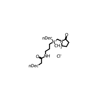 CCCCCCCCCCCC(=O)NCCC[N+](C)(CCCCCCCCCC)CN1CCCC1=O.[Cl-]